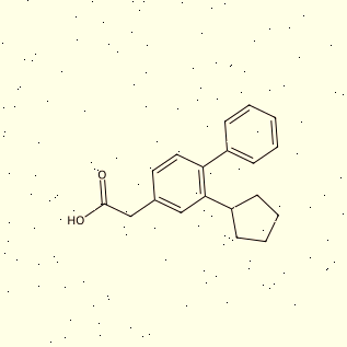 O=C(O)Cc1ccc(-c2ccccc2)c(C2CCCC2)c1